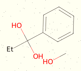 CCC(O)(O)c1ccccc1.CO